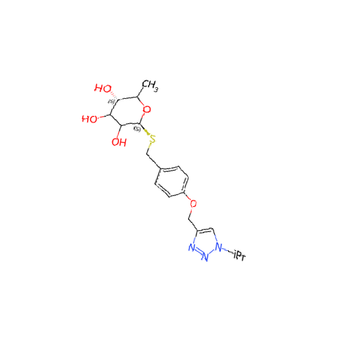 CC1O[C@@H](SCc2ccc(OCc3cn(C(C)C)nn3)cc2)C(O)C(O)[C@@H]1O